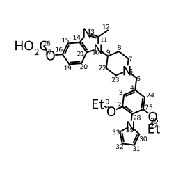 CCOc1cc(CN2CCC(n3c(C)nc4cc(OC(=O)O)ccc43)CC2)cc(OCC)c1-n1cccc1